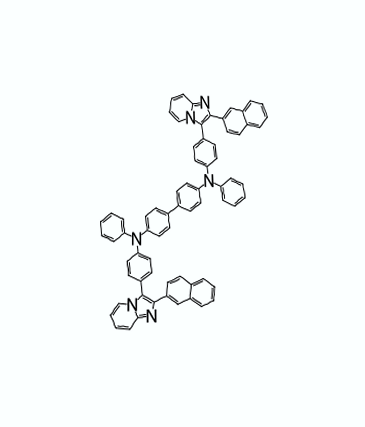 c1ccc(N(c2ccc(-c3ccc(N(c4ccccc4)c4ccc(-c5c(-c6ccc7ccccc7c6)nc6ccccn56)cc4)cc3)cc2)c2ccc(-c3c(-c4ccc5ccccc5c4)nc4ccccn34)cc2)cc1